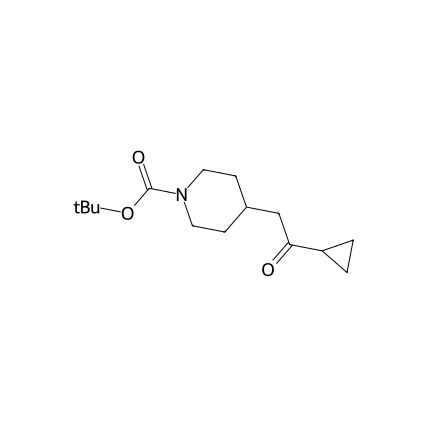 CC(C)(C)OC(=O)N1CCC(CC(=O)C2CC2)CC1